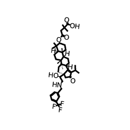 CC(C)C1=C2[C@H]3CC[C@@H]4[C@@]5(C)CC[C@H](OC(=O)CC(C)(C)C(=O)O)C(C)(C)[C@@H]5CC[C@@]4(C)[C@]3(C)CC[C@@]2([C@@H](O)CNCc2cccc(C(F)(F)F)c2)CC1=O